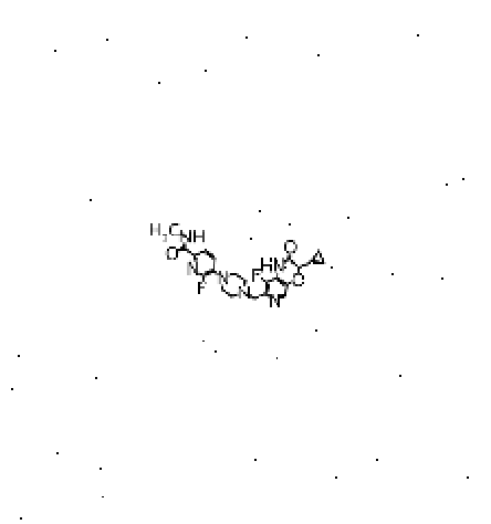 CNC(=O)c1ccc(N2CCN(Cc3ncc4c(c3F)NC(=O)C(C3CC3)O4)CC2)c(F)n1